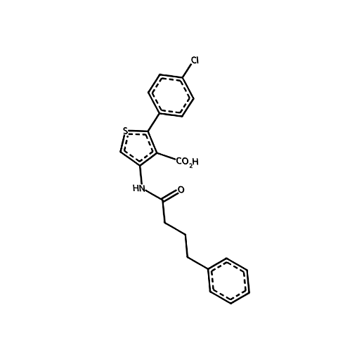 O=C(CCCc1ccccc1)Nc1csc(-c2ccc(Cl)cc2)c1C(=O)O